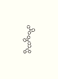 c1ccc(-n2c3ccccc3c3cc(-c4ccc5c(c4)c4ccccc4n5-c4ccc5ccc(-c6cc7ccccc7c7ccccc67)cc5c4)ccc32)cc1